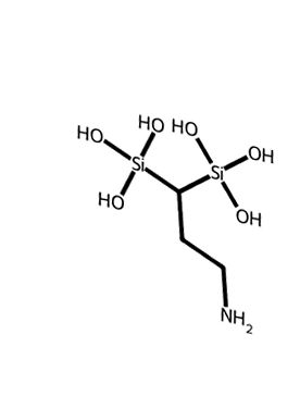 NCCC([Si](O)(O)O)[Si](O)(O)O